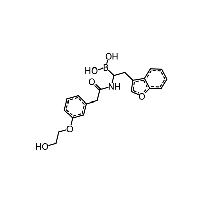 O=C(Cc1cccc(OCCO)c1)NC(Cc1coc2ccccc12)B(O)O